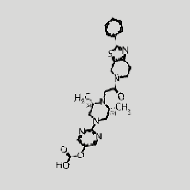 C[C@@H]1CN(c2ncc(OC(=O)O)cn2)C[C@H](C)N1CC(=O)N1CCc2nc(-c3ccccc3)sc2C1